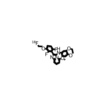 COc1cccc2nc(-c3c(F)ccc(OCC[18F])c3F)c(Nc3ccc4c(c3)OCCO4)n12